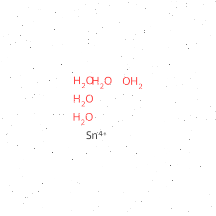 O.O.O.O.O.[Sn+4]